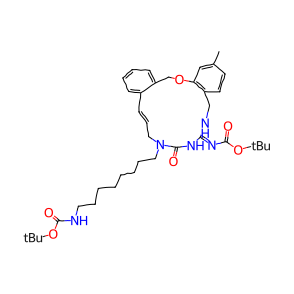 Cc1ccc2c(c1)OCc1ccccc1/C=C/CN(CCCCCCCCNC(=O)OC(C)(C)C)C(=O)N/C(=N/C(=O)OC(C)(C)C)NC2